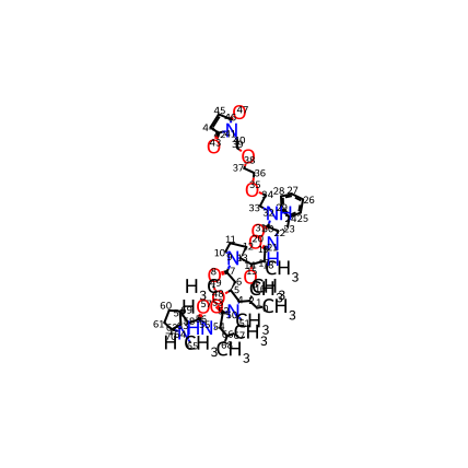 CC[C@H](C)[C@@H]([C@H](CC(=O)N1CCC[C@H]1[C@H](OC)[C@@H](C)C(=O)N[C@@H](Cc1ccccc1)C(=O)NCCOCCOCCN1C(=O)C=CC1=O)OC)N(C)C(=O)[C@@H](NC(=O)C1[C@H]2CC[C@H](C2)N1C)C(C)C